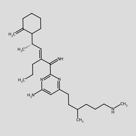 C=C1CCCCC1[C@@H](C)/C=C(\CCC)C(=N)c1nc(N)cc(CCC(C)CCCNC)n1